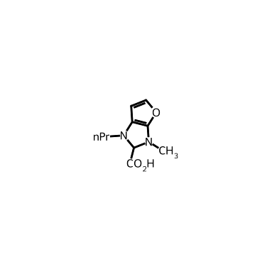 CCCN1c2ccoc2N(C)C1C(=O)O